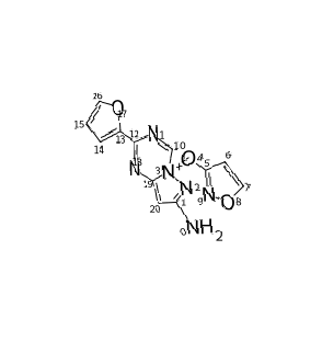 NC1=N[N+]2(Oc3ccon3)C=NC(c3ccco3)=NC2=C1